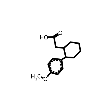 COc1ccc(C2CCCCC2CC(=O)O)cc1